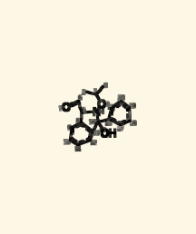 CC(C)ON1C(C=O)c2ccccc2C1(O)c1ccccc1